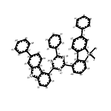 C[Si]1(C)c2cc(-c3ccccc3)ccc2-c2c(-c3nc(-c4ccccc4)nc(-c4cccc5oc6cc(-c7ccccc7)ccc6c45)n3)cccc21